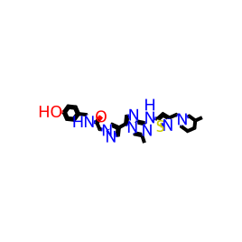 Cc1cn2c(-c3cnn(CC(=O)NCc4ccc(O)cc4)c3)cnc2c(Nc2cc(CN3CCCC(C)C3)ns2)n1